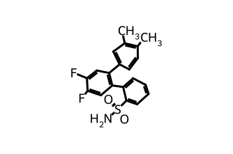 Cc1ccc(-c2cc(F)c(F)cc2-c2ccccc2S(N)(=O)=O)cc1C